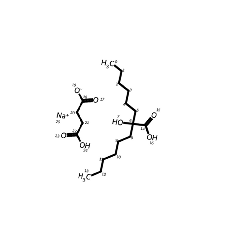 CCCCCCC(O)(CCCCCC)C(=O)O.O=C([O-])CCC(=O)O.[Na+]